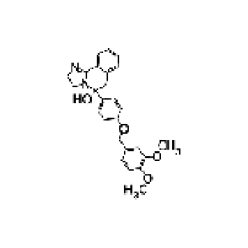 COc1ccc(COc2ccc(C3(O)Cc4ccccc4C4=NCCN43)cc2)cc1OC